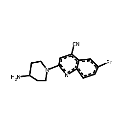 N#Cc1cc(N2CCC(N)CC2)nc2ccc(Br)cc12